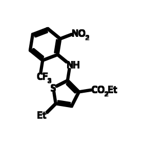 CCOC(=O)c1cc(CC)sc1Nc1c([N+](=O)[O-])cccc1C(F)(F)F